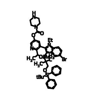 CCn1c(-c2cc(OC(=O)N3CCNCC3)cnc2C(C)OC)c(CC(C)(C)CO[Si](c2ccccc2)(c2ccccc2)C(C)(C)C)c2cc(Br)ccc21